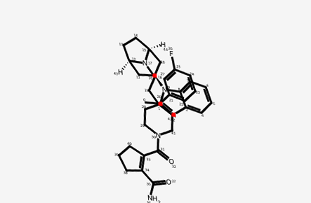 Cc1nc2ccccc2n1[C@H]1C[C@H]2CC[C@@H](C1)N2CCC1(c2cccc(F)c2)CCN(C(=O)C2=C(C(N)=O)CCC2)CC1